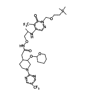 CC(CONC(=O)CC1CCN(c2ncc(C(F)(F)F)cn2)CC1OC1CCCCO1)Nc1cnn(COCC[Si](C)(C)C)c(=O)c1C(F)(F)F